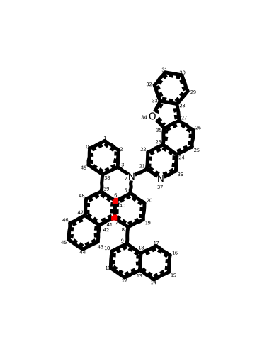 c1ccc(N(c2ccc(-c3cccc4ccccc34)cc2)c2cc3c(ccc4c5ccccc5oc34)cn2)c(-c2ccc3ccccc3c2)c1